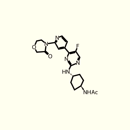 CC(=O)N[C@H]1CC[C@H](Nc2ncc(F)c(-c3ccnc(N4CCOCC4=O)c3)n2)CC1